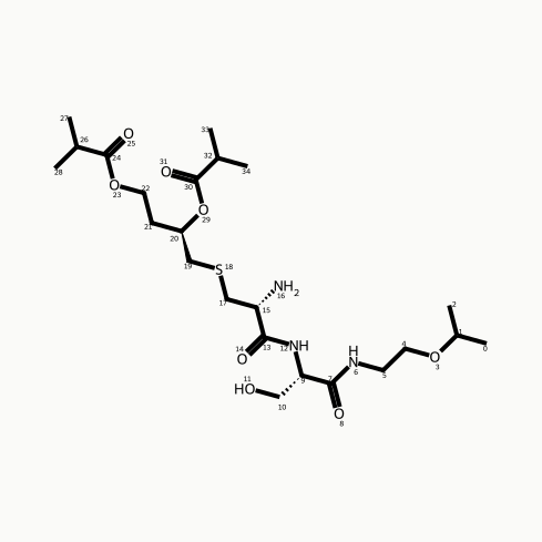 CC(C)OCCNC(=O)[C@H](CO)NC(=O)[C@@H](N)CSC[C@@H](CCOC(=O)C(C)C)OC(=O)C(C)C